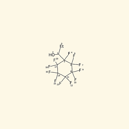 CCC(O)C1(F)C(F)(F)C(F)(F)C(F)(F)C(F)(F)C1(F)F